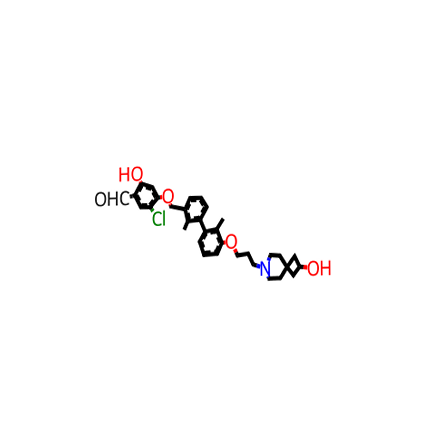 Cc1c(COc2cc(O)c(C=O)cc2Cl)cccc1-c1cccc(OCCCN2CCC3(CC2)CC(O)C3)c1C